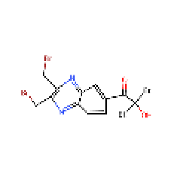 CCC(O)(CC)C(=O)c1ccc2nc(CBr)c(CBr)nc2c1